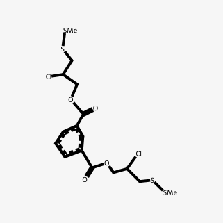 CSSCC(Cl)COC(=O)c1cccc(C(=O)OCC(Cl)CSSC)c1